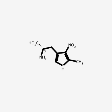 CC1=C([N+](=O)[O-])C(C[C@H](N)C(=O)O)=C[IH]1